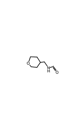 O=[C]NCC1CCOCC1